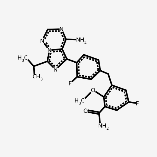 COc1c(Cc2ccc(-c3nc(C(C)C)n4ncnc(N)c34)c(F)c2)cc(F)cc1C(N)=O